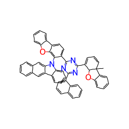 CC12C=CC=C(c3nc(-c4ccc5c(oc6ccccc65)c4-n4c5ccccc5c5cc6ccccc6cc54)nc(-c4cccc5ccccc45)n3)C1Oc1ccccc12